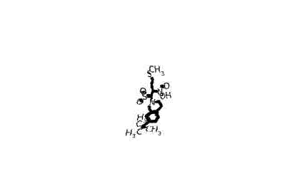 CSCCC(C(N1CCc2ccc(C(C)(C)C)cc2C1)=S(=O)=O)N(O)C=O